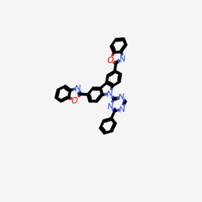 c1ccc(-c2ncnc(-n3c4ccc(-c5nc6ccccc6o5)cc4c4cc(-c5nc6ccccc6o5)ccc43)n2)cc1